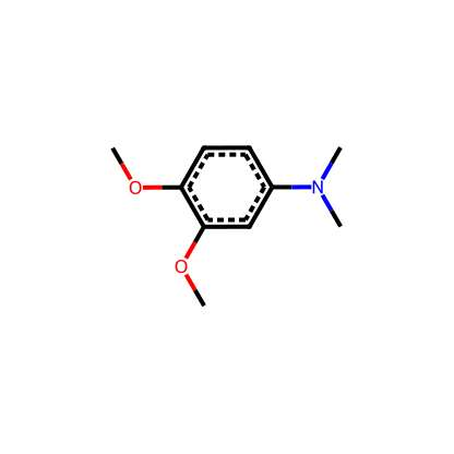 COc1ccc(N(C)C)cc1OC